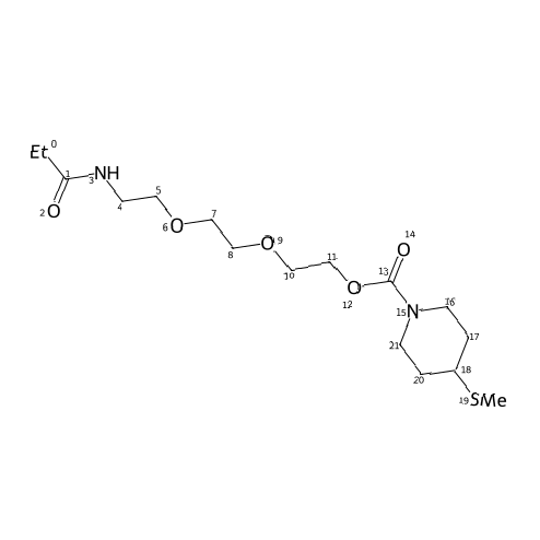 CCC(=O)NCCOCCOCCOC(=O)N1CCC(SC)CC1